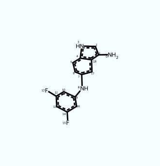 Nc1c[nH]c2ccc(Nc3cc(F)cc(F)c3)cc12